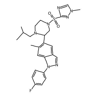 Cc1cc2c(cnn2-c2ccc(F)cc2)cc1C1CN(S(=O)(=O)c2ncn(C)n2)CCN1CC(C)C